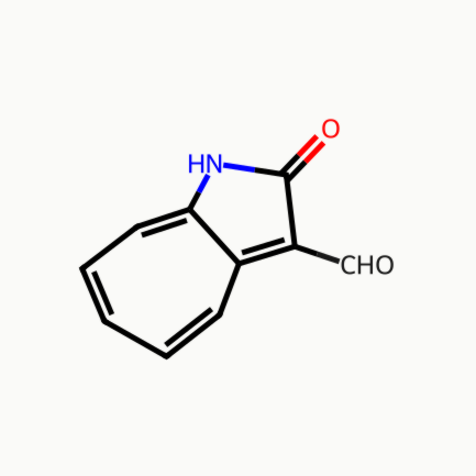 O=Cc1c2cccccc-2[nH]c1=O